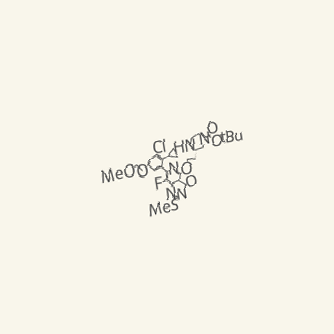 COCOc1cc(Cl)c(C2CC2)c(C2=C(F)C3=NC(SC)=NC(=O)C3C(OCC[C@H]3CN(C(=O)OC(C)(C)C)CCN3)=N2)c1